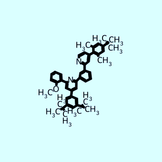 COc1ccccc1-c1cc(-c2cc(C(C)(C)C)cc(C(C)(C)C)c2)cc(-c2cccc(-c3cc(-c4c(C)cc(C(C)(C)C)cc4C)ccn3)c2)n1